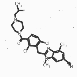 Cc1cc(C#N)cc2c1nc(Cc1c(Cl)ccc(C(=O)N3CCN(CC(C)F)CC3)c1Cl)n2C